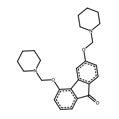 O=C1c2ccc(OCN3CCCCC3)cc2-c2c(OCN3CCCCC3)cccc21